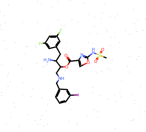 CS(=O)(=O)Nc1nc(C(=O)OC(CNCc2cccc(I)c2)C(N)Cc2cc(F)cc(F)c2)co1